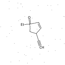 C#CC1C=CP(=O)(CC)C1